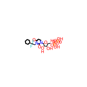 O=c1ccn(C2OC(COP(=O)(O)OP(=O)(O)O)C(O)[C@@H]2O)c(=O)n1CC(F)(F)c1ccccc1